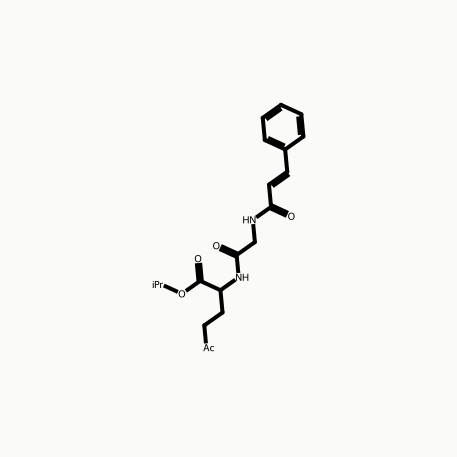 CC(=O)CCC(NC(=O)CNC(=O)/C=C/c1ccccc1)C(=O)OC(C)C